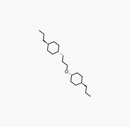 CCC[C@H]1CC[C@H](CCCO[C@H]2CC[C@H](CCC)CC2)CC1